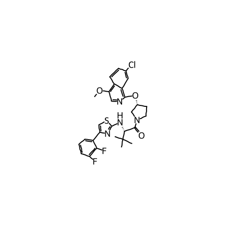 COc1cnc(O[C@@H]2CCN(C(=O)[C@@H](Nc3nc(-c4cccc(F)c4F)cs3)C(C)(C)C)C2)c2cc(Cl)ccc12